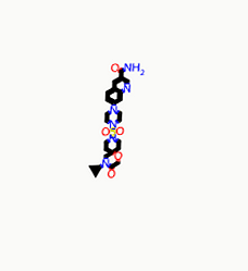 NC(=O)c1cnc2cc(N3CCN(S(=O)(=O)N4CCC5(CC4)CN(C4CC4)C(=O)CO5)CC3)ccc2c1